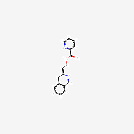 O=C(OC/C=C1/Cc2ccccc2C=N1)c1ccccn1